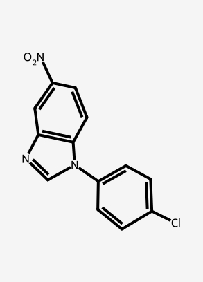 O=[N+]([O-])c1ccc2c(c1)ncn2-c1ccc(Cl)cc1